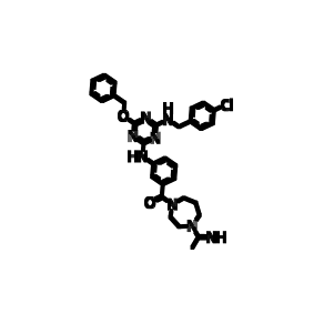 CC(=N)N1CCCN(C(=O)c2cccc(Nc3nc(NCc4ccc(Cl)cc4)nc(OCc4ccccc4)n3)c2)CC1